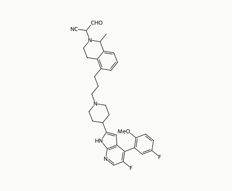 COc1ccc(F)cc1-c1c(F)cnc2[nH]c(C3CCN(CCCc4cccc5c4CCN(C(C#N)C=O)C5C)CC3)cc12